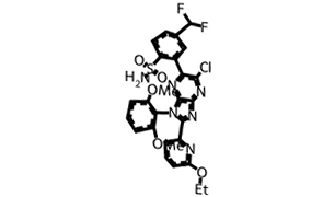 CCOc1cccc(-c2nc3nc(Cl)c(-c4cc(C(F)F)ccc4S(N)(=O)=O)nc3n2-c2c(OC)cccc2OC)n1